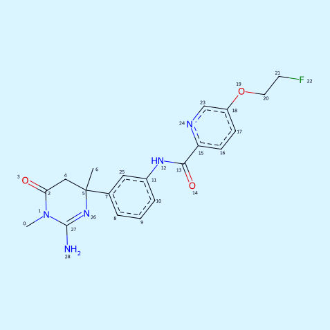 CN1C(=O)CC(C)(c2cccc(NC(=O)c3ccc(OCCF)cn3)c2)N=C1N